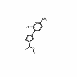 CCOC(C)n1cc(-c2ccc(N)nc2Cl)cn1